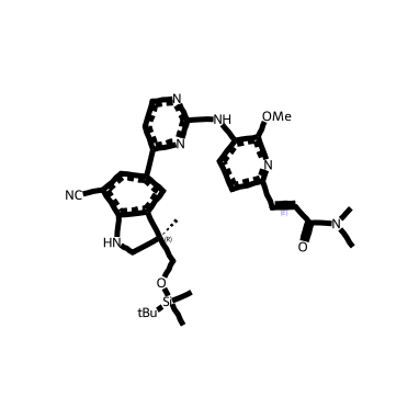 COc1nc(/C=C/C(=O)N(C)C)ccc1Nc1nccc(-c2cc(C#N)c3c(c2)[C@@](C)(CO[Si](C)(C)C(C)(C)C)CN3)n1